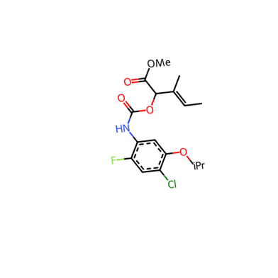 CC=C(C)C(OC(=O)Nc1cc(OC(C)C)c(Cl)cc1F)C(=O)OC